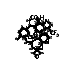 Cc1ccc([C@H](CC(=O)O)c2ccn3c(C(F)(F)F)nnc3c2C)nc1CN1CC2(COC2)Oc2ncccc2S1(=O)=O